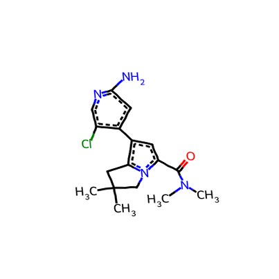 CN(C)C(=O)c1cc(-c2cc(N)ncc2Cl)c2n1CC(C)(C)C2